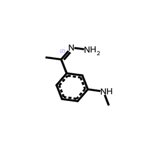 CNc1cccc(/C(C)=N\N)c1